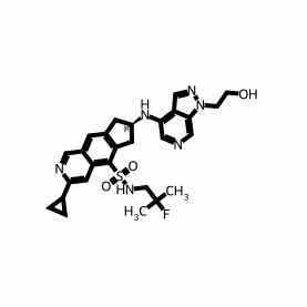 CC(C)(F)CNS(=O)(=O)c1c2c(cc3cnc(C4CC4)cc13)C[C@@H](Nc1cncc3c1cnn3CCO)C2